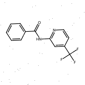 O=C(Nc1cc(C(F)(F)F)ccn1)c1ccccc1